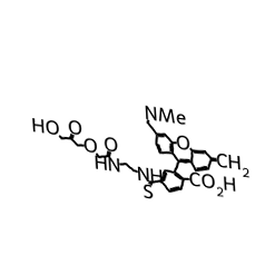 C=c1ccc2c(c1)Oc1cc(CNC)ccc1C=2c1cc(C(=S)NCCNC(=O)COCC(=O)CO)ccc1C(=O)O